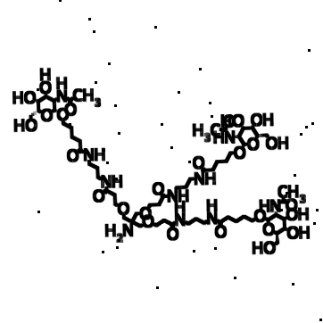 CC(=O)N[C@H]1[C@H](OCCCCC(=O)NCCCNC(=O)CCOCC(N)(COCCC(=O)NCCCNC(=O)CCCCOC2O[C@H](CO)[C@H](O)[C@H](O)[C@H]2NC(C)=O)COCCC(=O)NCCCNC(=O)CCCCO[C@@H]2O[C@H](CO)[C@H](O)[C@H](O)[C@H]2NC(C)=O)O[C@H](CO)[C@H](O)[C@@H]1O